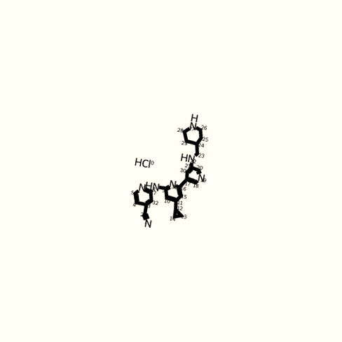 Cl.N#Cc1ccnc(Nc2cc(C3CC3)cc(-c3cncc(NCC4CCNCC4)c3)n2)c1